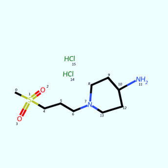 CS(=O)(=O)CCCN1CCC(N)CC1.Cl.Cl